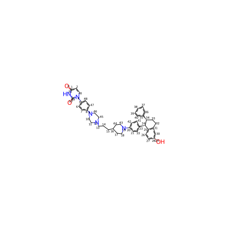 O=c1ccn(-c2ccc(N3CCN(CCCC4CCN(c5ccc([C@@H]6c7ccc(O)cc7CC[C@@H]6c6ccccc6)cc5)CC4)CC3)cc2)c(=O)[nH]1